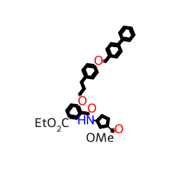 CCOC(=O)c1ccc(OCCCc2ccc(OCc3ccc(-c4ccccc4)cc3)cc2)c(C(=O)N[C@H]2CC[C@@H](C(=O)OC)C2)c1